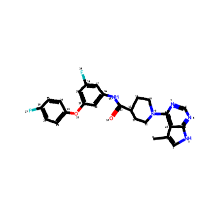 Cc1c[nH]c2ncnc(N3CCC(C(=O)Nc4cc(F)cc(Oc5ccc(F)cc5)c4)CC3)c12